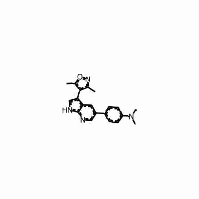 Cc1noc(C)c1-c1c[nH]c2ncc(-c3ccc(N(C)C)cc3)cc12